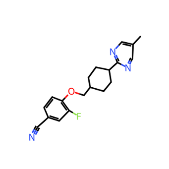 Cc1cnc(C2CCC(COc3ccc(C#N)cc3F)CC2)nc1